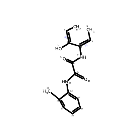 C/C=C(O)\C(=C/C)NC(=O)C(=O)Nc1ccccc1C